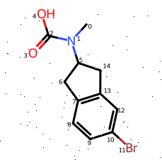 CN(C(=O)O)C1Cc2ccc(Br)cc2C1